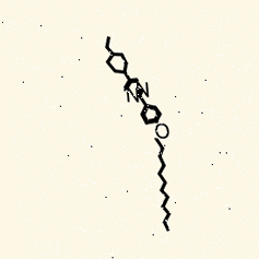 CCCCCCCCCCCCOc1ccc(-c2ncc(C3CCC(CC)CC3)cn2)cc1